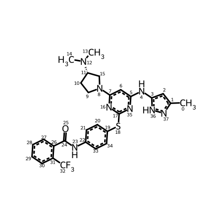 Cc1cc(Nc2cc(N3CC[C@H](N(C)C)C3)nc(Sc3ccc(NC(=O)c4ccccc4C(F)(F)F)cc3)n2)[nH]n1